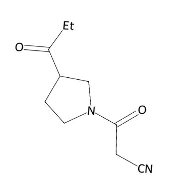 CCC(=O)C1CCN(C(=O)CC#N)C1